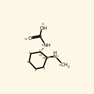 CN[C@H]1CCCC[C@@H]1NC(=O)O